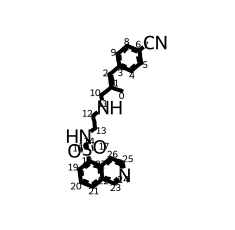 C/C(=C\c1ccc(C#N)cc1)CNCCNS(=O)(=O)c1cccc2cnccc12